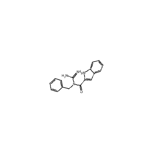 N=C(N)N(Cc1ccccc1)C(=O)c1cc2ccccc2[nH]1